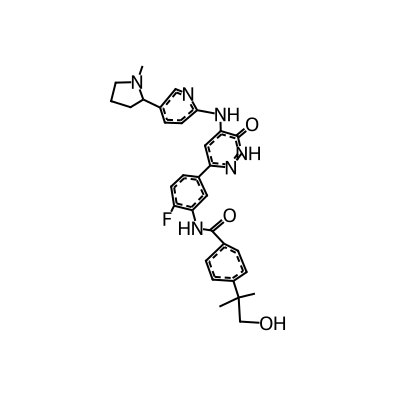 CN1CCCC1c1ccc(Nc2cc(-c3ccc(F)c(NC(=O)c4ccc(C(C)(C)CO)cc4)c3)n[nH]c2=O)nc1